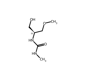 CNC(=O)N[C@@H](CO)COC